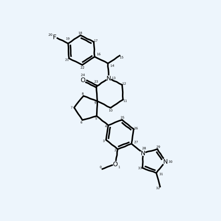 COc1cc(C2CCCC23CCCN(C(C)c2ccc(F)cc2)C3=O)ccc1-n1cnc(C)c1